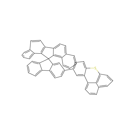 c1ccc2c(c1)-c1ccc(-c3ccc4c(c3)-c3cccc5cccc(c35)S4)cc1C21c2c(ccc3ccccc23)-c2ccc3ccccc3c21